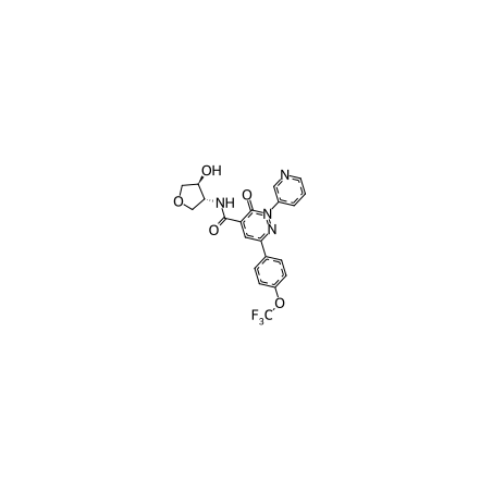 O=C(N[C@@H]1COC[C@H]1O)c1cc(-c2ccc(OC(F)(F)F)cc2)nn(-c2cccnc2)c1=O